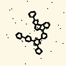 c1ccc(-c2ccc(-c3nc(-c4ccccc4)nc(-c4cccc(-n5c6ccccc6c6c7sc(-c8ccccc8)cc7ccc65)c4)n3)cc2)cc1